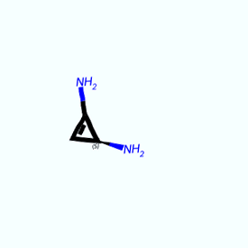 NC1=C[C@@H]1N